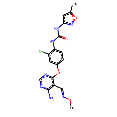 CO/N=C/c1c(N)ncnc1Oc1ccc(NC(=O)Nc2cc(C)on2)c(Cl)c1